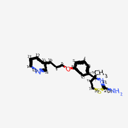 CC1(c2cccc(OCCCc3cccnc3)c2)CCSC(N)=N1